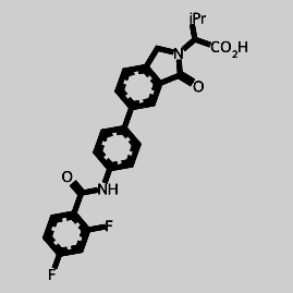 CC(C)C(C(=O)O)N1Cc2ccc(-c3ccc(NC(=O)c4ccc(F)cc4F)cc3)cc2C1=O